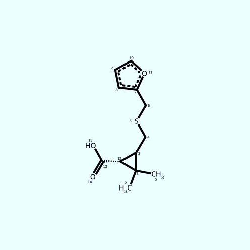 CC1(C)C(CSCc2ccco2)[C@H]1C(=O)O